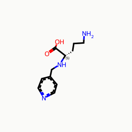 NCCC[C@H](NCc1ccncc1)C(=O)O